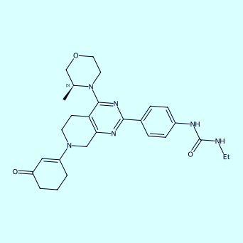 CCNC(=O)Nc1ccc(-c2nc3c(c(N4CCOC[C@@H]4C)n2)CCN(C2=CC(=O)CCC2)C3)cc1